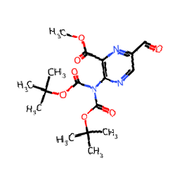 COC(=O)c1nc(C=O)cnc1N(C(=O)OC(C)(C)C)C(=O)OC(C)(C)C